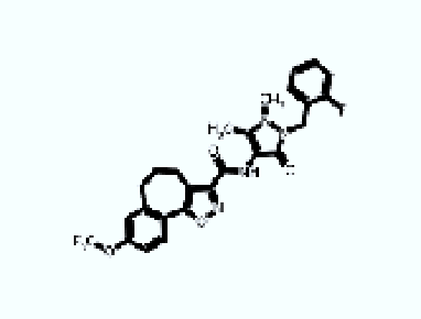 Cc1c(NC(=O)c2noc3c2CCCc2cc(OC(F)(F)F)ccc2-3)c(=O)n(Cc2ccccc2F)n1C